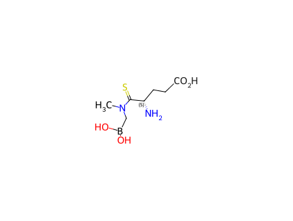 CN(CB(O)O)C(=S)[C@@H](N)CCC(=O)O